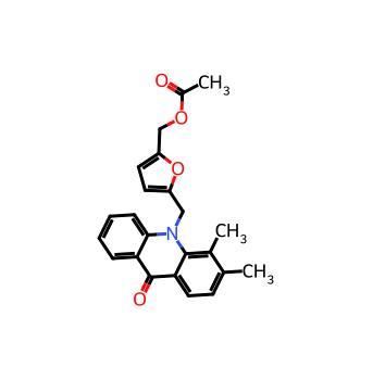 CC(=O)OCc1ccc(Cn2c3ccccc3c(=O)c3ccc(C)c(C)c32)o1